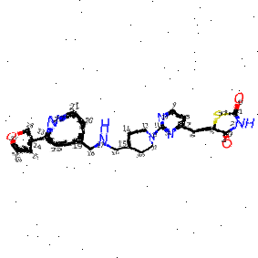 O=C1NC(=O)/C(=C/c2ccnc(N3CCC(CNCc4ccnc(-c5ccoc5)c4)CC3)n2)S1